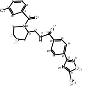 N#Cc1cccc(C(=O)N2CCOCC2CNC(=O)c2ccc(-c3noc(C(F)(F)F)n3)cc2)c1